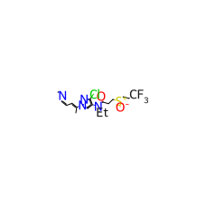 C=N/C=C\C=C(/C)n1cc(N(CC)C(=O)CC[S+]([O-])CCC(F)(F)F)c(Cl)n1